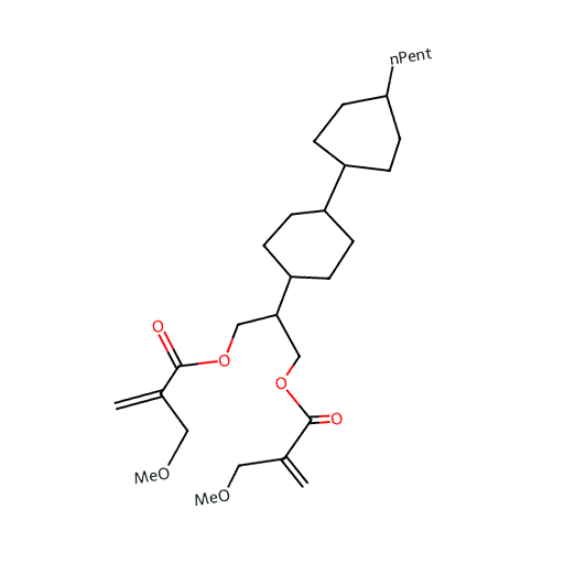 C=C(COC)C(=O)OCC(COC(=O)C(=C)COC)C1CCC(C2CCC(CCCCC)CC2)CC1